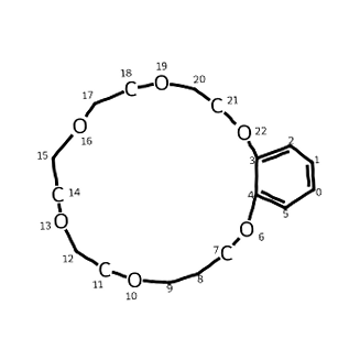 c1ccc2c(c1)OCCCOCCOCCOCCOCCO2